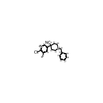 N#CC1(c2cnc(Cl)c(F)c2)CCN(Cc2ccccc2)CC1